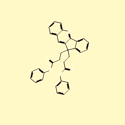 O=C(CCC1(CCC(=O)Oc2ccccc2)c2ccccc2-c2nc3ccccc3cc21)Oc1ccccc1